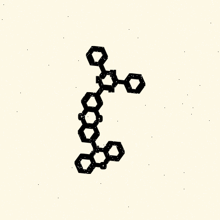 c1ccc(-c2nc(-c3ccccc3)nc(-c3ccc4c(c3)Oc3cc(N5c6ccccc6Oc6ccccc65)ccc3O4)n2)cc1